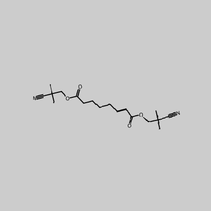 CC(C)(C#N)COC(=O)CCCCCCC(=O)OCC(C)(C)C#N